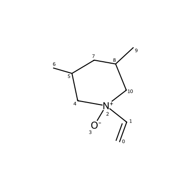 C=C[N+]1([O-])CC(C)CC(C)C1